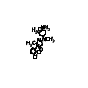 Cc1nc(N(C)[C@H]2CC[C@@](C)(N)CC2)cc(=O)n1-c1cccc(Cl)c1Cl